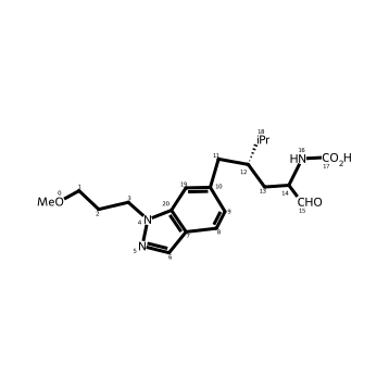 COCCCn1ncc2ccc(C[C@@H](CC(C=O)NC(=O)O)C(C)C)cc21